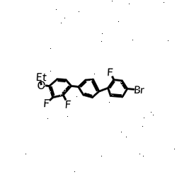 CCOc1ccc(-c2ccc(-c3ccc(Br)cc3F)cc2)c(F)c1F